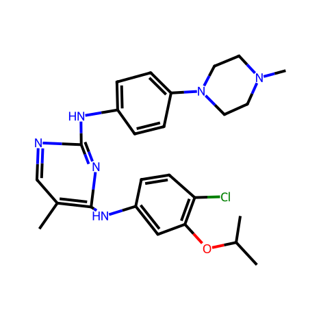 Cc1cnc(Nc2ccc(N3CCN(C)CC3)cc2)nc1Nc1ccc(Cl)c(OC(C)C)c1